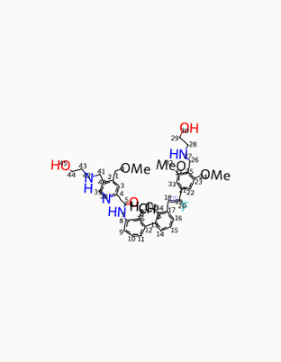 COCc1cc(C(=O)Nc2cccc(-c3cccc(/C=C(\F)c4cc(OC)c(CNCCO)c(OC)c4)c3C)c2C)ncc1CNCCO